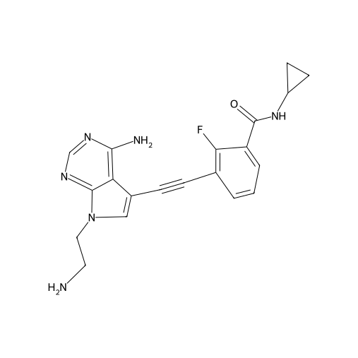 NCCn1cc(C#Cc2cccc(C(=O)NC3CC3)c2F)c2c(N)ncnc21